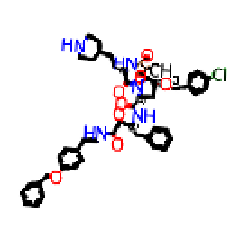 CS(=O)(=O)N[C@H](CCC1CCNCC1)C(=O)N1C[C@H](OCc2ccc(Cl)cc2)C[C@H]1C(=O)N[C@@H](Cc1ccccc1)C(=O)C(=O)NCCc1ccc(OCc2ccccc2)cc1